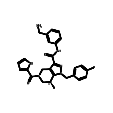 C[C@H]1CN(C(=O)c2ccc[nH]2)Cc2c(C(=O)Nc3cccc(CN)c3)nn(Cc3ccc(F)cc3)c21